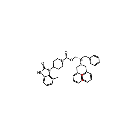 Cc1cccc2[nH]c(=O)n(C3CCN(C(=O)OC[C@H](Cc4ccccc4)N(Cc4ccccc4)Cc4ccccc4)CC3)c12